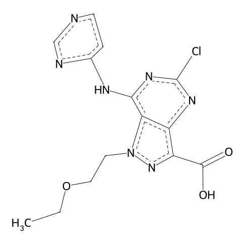 CCOCCn1nc(C(=O)O)c2nc(Cl)nc(Nc3ccncn3)c21